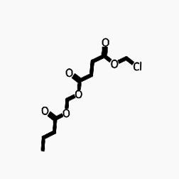 CCCC(=O)OCOC(=O)CCC(=O)OCCl